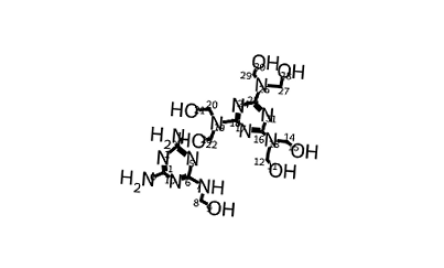 Nc1nc(N)nc(NCO)n1.OCN(CO)c1nc(N(CO)CO)nc(N(CO)CO)n1